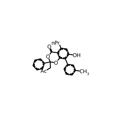 CCCc1cc(O)c(-c2cccc(C)c2)c2c1C(=O)OC(CC(C)=O)(c1ccccc1)O2